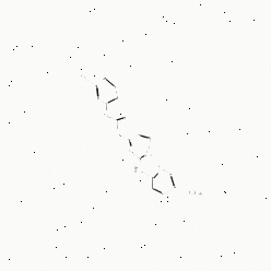 COc1ccc(Nc2nccc(NC(=O)Nc3cccc([N+](=O)[O-])c3)n2)nc1